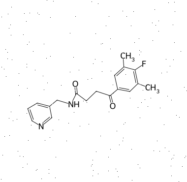 Cc1cc(C(=O)CCC(=O)NCc2cccnc2)cc(C)c1F